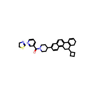 C1=NCCS1.O=C(c1cccnc1)N1CCC(c2ccc3c4c(ccc3c2)C2=C(CCC=C2)C(C2CCC2)C4)CC1